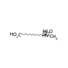 C[C@H](NC(=O)CCCCCCCCCCCCC(=O)O)C(=O)S